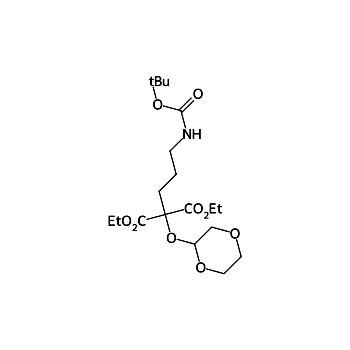 CCOC(=O)C(CCCNC(=O)OC(C)(C)C)(OC1COCCO1)C(=O)OCC